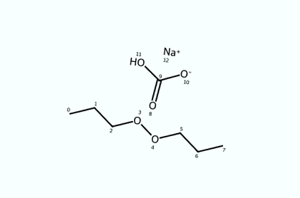 CCCOOCCC.O=C([O-])O.[Na+]